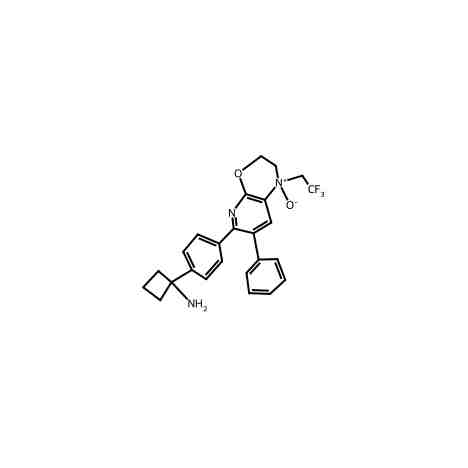 NC1(c2ccc(-c3nc4c(cc3-c3ccccc3)[N+]([O-])(CC(F)(F)F)CCO4)cc2)CCC1